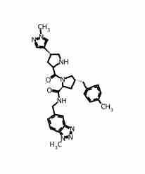 Cc1ccc(C[C@@H]2C[C@@H](C(=O)NCc3ccc4c(c3)nnn4C)N(C(=O)C3C[C@@H](c4cnn(C)c4)CN3)C2)cc1